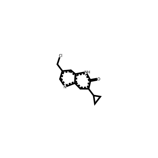 O=c1[nH]c2cc(CCl)cnc2cc1C1CC1